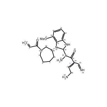 C=CC(=O)N1CCCC[C@@H](N2c3c(cccc3OC)NC2N(N)C(=O)/C(C=N)=C/CN)C1